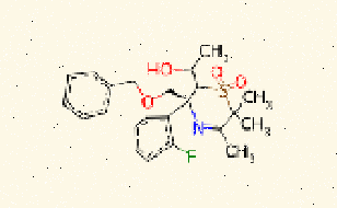 CC1=N[C@](COCc2ccccc2)(c2ccccc2F)C(C(C)O)S(=O)(=O)C1(C)C